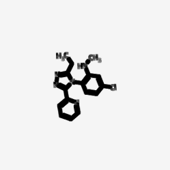 CCc1nnc(-c2ccccn2)n1-c1ccc(Cl)cc1NC